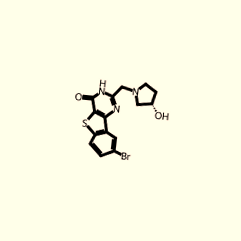 O=c1[nH]c(CN2CC[C@H](O)C2)nc2c1sc1ccc(Br)cc12